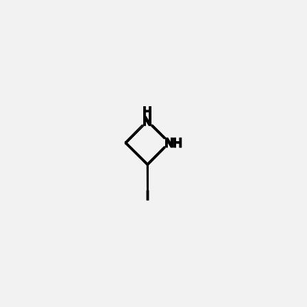 IC1CNN1